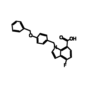 O=C(O)c1ccc(F)c2ccn(Cc3ccc(OCc4ccccc4)cc3)c12